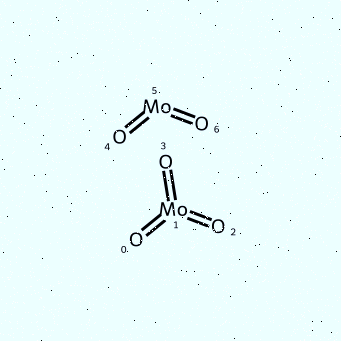 [O]=[Mo](=[O])=[O].[O]=[Mo]=[O]